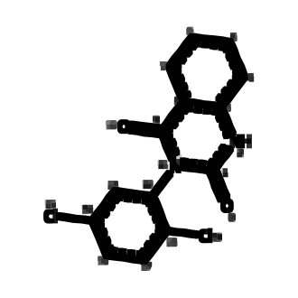 O=c1[nH]c2ccccc2c(=O)n1-c1cc(Cl)ccc1Cl